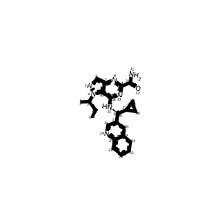 CCC(C)n1ncc2nc(C(N)=O)nc(N[C@@H](c3cnc4ccccc4c3)C3CC3)c21